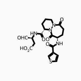 O=C[C@H](CC(=O)O)NC(=O)[C@@H]1CCCN2C(=O)CC[C@H](NC(=O)c3ccsc3)C(=O)N12